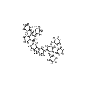 c1ccc(-c2c3ccccc3c(-c3ccccc3)c3cc(-c4ccc5oc6ccc(-c7cc8c9cnccc9n(-c9ccccc9)c8c8ccccc78)cc6c5c4)ccc23)cc1